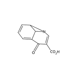 O=C(O)C1=CN2C3C=CC=C(C1=O)C32